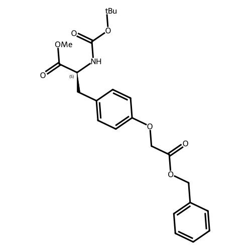 COC(=O)[C@H](Cc1ccc(OCC(=O)OCc2ccccc2)cc1)NC(=O)OC(C)(C)C